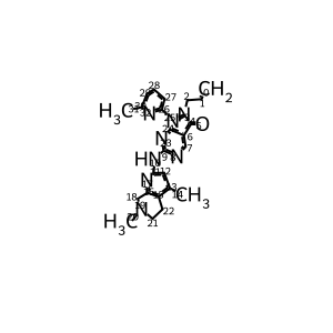 C=CCn1c(=O)c2cnc(Nc3cc(C)c4c(n3)CN(C)CC4)nc2n1-c1cccc(C)n1